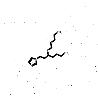 CCCCCSC(CCCC)CCn1ccnc1